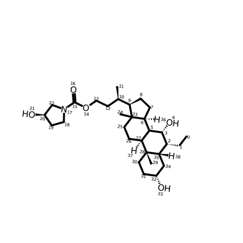 CC[C@H]1[C@@H](O)C2[C@@H]3CC[C@H]([C@H](C)CCOC(=O)N4CC[C@@H](O)C4)C3(C)CC[C@@H]2[C@@]2(C)CC[C@@H](O)C[C@@H]12